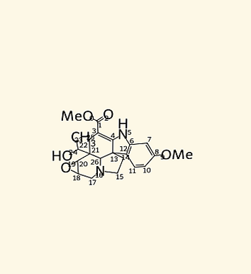 COC(=O)C1=C2Nc3cc(OC)ccc3C23CCN2CC4OC4C(C(C)O)(C1)C23